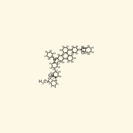 C[C@H]1c2cccc3c2C1(C)c1cc(-c2ccc4c(c2)c2cc(-c5ccccc5-c5ccccc5-c5ccc(-c6nc7ccccc7o6)cc5)ccc2n4-c2ccccc2)ccc1-3